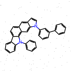 c1ccc(-c2cccc(-n3ccc4cc5ccc6c7ccccc7n(-c7ccccc7)c6c5cc43)c2)cc1